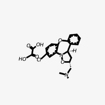 CN(C)C[C@H]1C[C@@H]2c3ccccc3Oc3ccc(Cl)cc3N2O1.O=C(O)C(=O)O